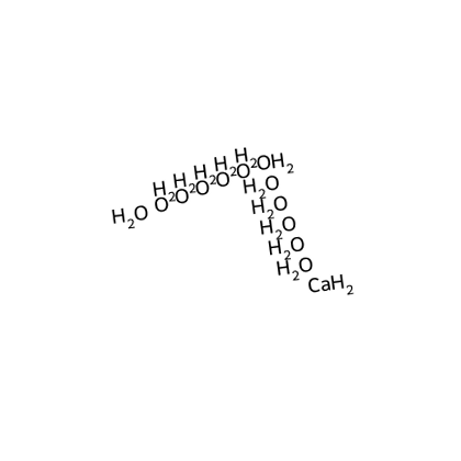 O.O.O.O.O.O.O.O.O.O.O.O.[CaH2]